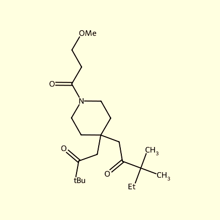 CCC(C)(C)C(=O)CC1(CC(=O)C(C)(C)C)CCN(C(=O)CCOC)CC1